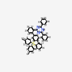 Cc1ccc(S2(c3ccc(C)cc3)c3ccccc3-c3ccc(-c4ccccc4-c4nc(-c5ccccc5)nc(-c5ccccc5)n4)cc32)cc1